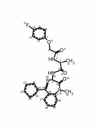 C[C@H](NC(=O)COc1ccc(F)cc1)C(=O)NC1N=C(c2ccccc2)c2ccccc2N(C)C1=O